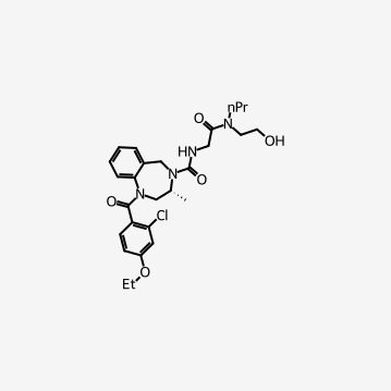 CCCN(CCO)C(=O)CNC(=O)N1Cc2ccccc2N(C(=O)c2ccc(OCC)cc2Cl)C[C@H]1C